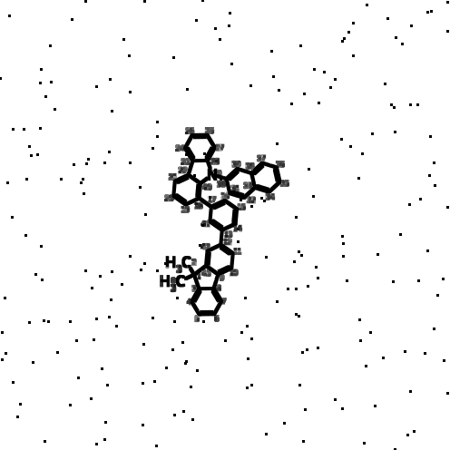 CC1(C)c2ccccc2-c2ccc(-c3cccc(-c4cccc5c6ccccc6n(-c6ccc7ccccc7c6)c45)c3)cc21